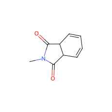 CN1C(=O)C2C=CC=CC2C1=O